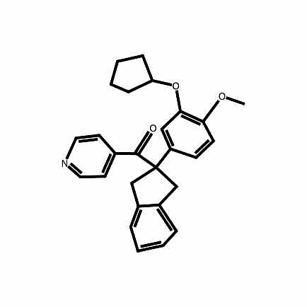 COc1ccc(C2(C(=O)c3ccncc3)Cc3ccccc3C2)cc1OC1CCCC1